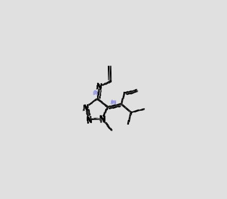 C=C/N=C1/N=NN(C)/C1=C(/C=C)C(C)C